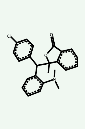 CN(C)c1ccccc1C(c1ccc(Cl)cc1)C1(C)OC(=O)c2ccccc21